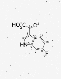 O=C(O)C(=O)c1c[nH]c2cc(F)ccc12